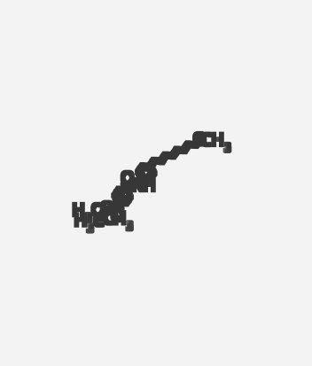 COCCCCCCCCc1ccc(NC(=O)N2CCN(C(=O)OC(C)(C)C)CC2)cc1